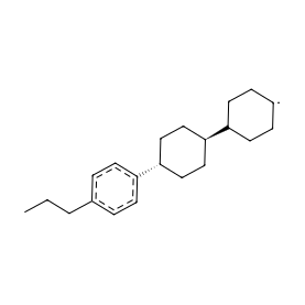 CCCc1ccc([C@H]2CC[C@H](C3CC[CH]CC3)CC2)cc1